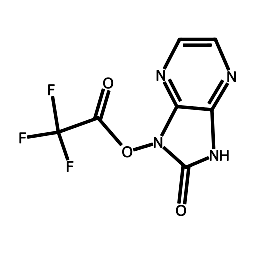 O=C(On1c(=O)[nH]c2nccnc21)C(F)(F)F